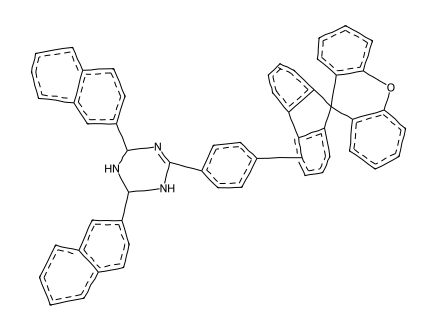 c1ccc2c(c1)Oc1ccccc1C21c2ccccc2-c2c(-c3ccc(C4=NC(c5ccc6ccccc6c5)NC(c5ccc6ccccc6c5)N4)cc3)cccc21